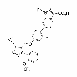 Cc1cc(OCc2c(-c3ccccc3OC(F)(F)F)noc2C2CC2)ccc1-c1ccc2c(C(=O)O)c(C)n(C(C)C)c2c1